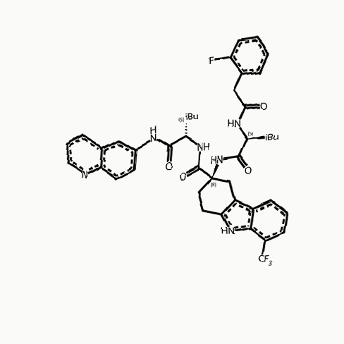 CCC(C)[C@H](NC(=O)Cc1ccccc1F)C(=O)N[C@]1(C(=O)NC(C(=O)Nc2ccc3ncccc3c2)[C@@H](C)CC)CCc2[nH]c3c(C(F)(F)F)cccc3c2C1